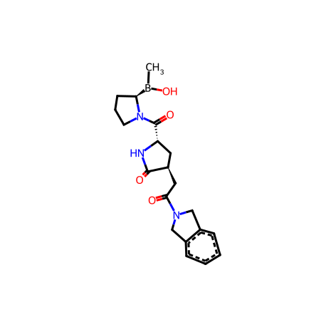 CB(O)[C@@H]1CCCN1C(=O)[C@@H]1C[C@@H](CC(=O)N2Cc3ccccc3C2)C(=O)N1